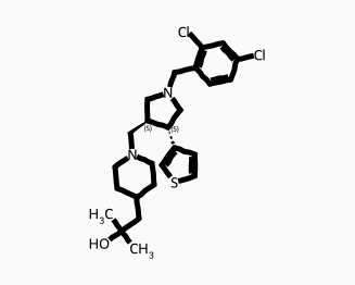 CC(C)(O)CC1CCN(C[C@H]2CN(Cc3ccc(Cl)cc3Cl)C[C@@H]2c2ccsc2)CC1